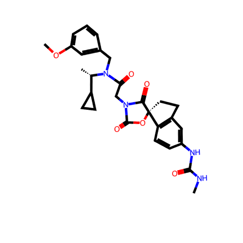 CNC(=O)Nc1ccc2c(c1)CC[C@@]21OC(=O)N(CC(=O)N(Cc2cccc(OC)c2)[C@@H](C)C2CC2)C1=O